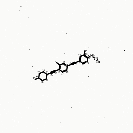 Cc1cc(C#Cc2ccc(N=C=S)c(C)c2)ccc1C#CC1CCC(C)CC1